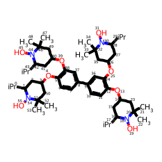 CC(C)C1CC(Oc2ccc(-c3ccc(OC4CC(C(C)C)N(O)C(C)(C)C4)c(OC4CC(C(C)C)N(O)C(C)(C)C4)c3)cc2OC2CC(C(C)C)N(O)C(C)(C)C2)CC(C)(C)N1O